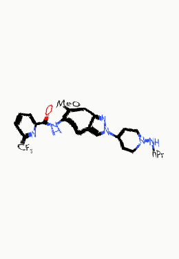 CCCNN1CCC(n2cc3cc(NC(=O)c4cccc(C(F)(F)F)n4)c(OC)cc3n2)CC1